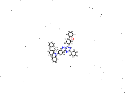 CC1(C)c2ccccc2-c2ccc3c4ccccc4n(-c4ccc(C5N=C(c6ccccc6)N=C(c6ccc7c(c6)oc6ccccc67)N5)cc4)c3c21